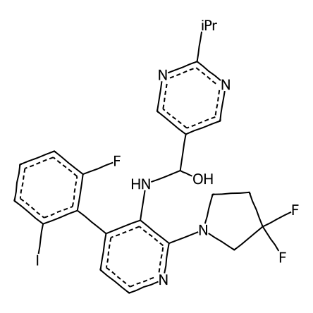 CC(C)c1ncc(C(O)Nc2c(-c3c(F)cccc3I)ccnc2N2CCC(F)(F)C2)cn1